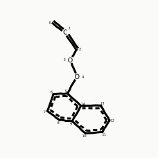 C=C=COOc1cccc2ccccc12